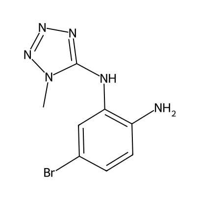 Cn1nnnc1Nc1cc(Br)ccc1N